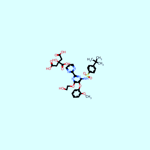 COc1ccccc1Oc1c(NS(=O)(=O)c2ccc(C(C)(C)C)cc2)nc(-c2ncccn2)nc1OCCO.O=C(O)CC(O)(CC(=O)O)C(=O)O